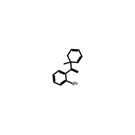 C=C(c1ccccc1C(C)C)C1(C)C=CC=CC1